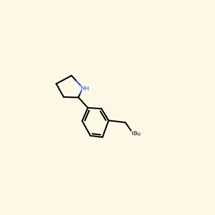 CC(C)(C)Cc1cccc(C2CCCN2)c1